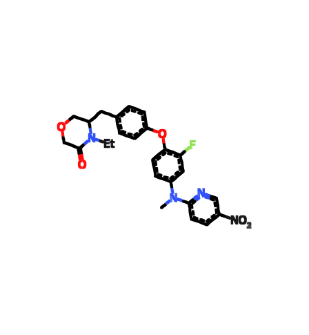 CCN1C(=O)COCC1Cc1ccc(Oc2ccc(N(C)c3ccc([N+](=O)[O-])cn3)cc2F)cc1